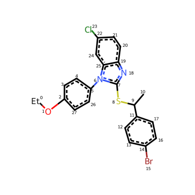 CCOc1ccc(-n2c(SC(C)c3ccc(Br)cc3)nc3ccc(Cl)cc32)cc1